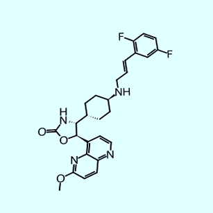 COc1ccc2nccc([C@H]3OC(=O)N[C@@H]3[C@H]3CC[C@H](NC/C=C/c4cc(F)ccc4F)CC3)c2n1